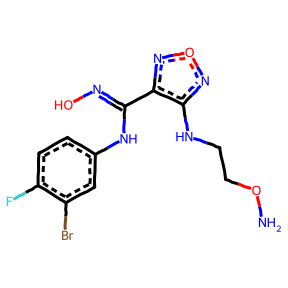 NOCCNc1nonc1/C(=N/O)Nc1ccc(F)c(Br)c1